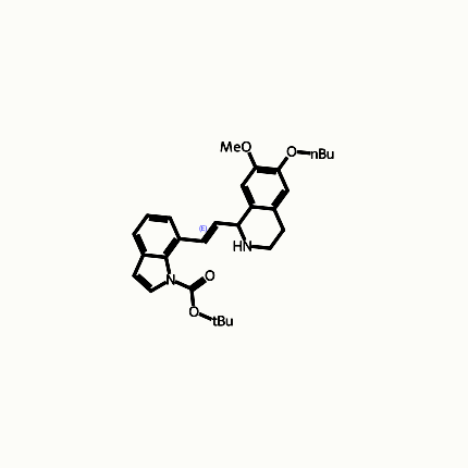 CCCCOc1cc2c(cc1OC)C(/C=C/c1cccc3ccn(C(=O)OC(C)(C)C)c13)NCC2